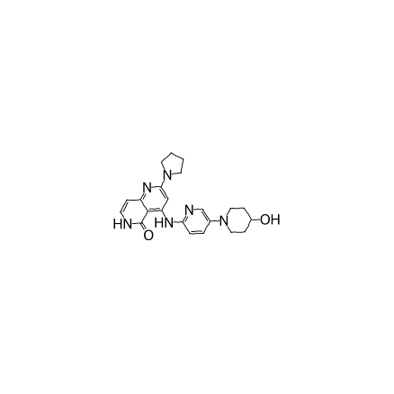 O=c1[nH]ccc2nc(N3CCCC3)cc(Nc3ccc(N4CCC(O)CC4)cn3)c12